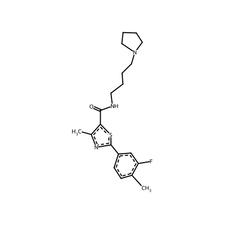 Cc1ccc(-c2nc(C)c(C(=O)NCCCCN3CCCC3)s2)cc1F